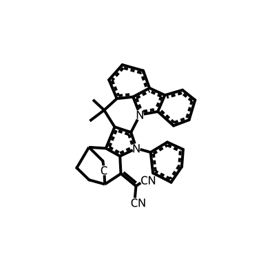 CC1(C)c2c3c(n(-c4ccccc4)c2-n2c4ccccc4c4cccc1c42)C(=C(C#N)C#N)C1CCC3CC1